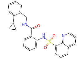 O=C(NCc1ccccc1C1CC1)c1ccccc1NS(=O)(=O)c1cccc2cccnc12